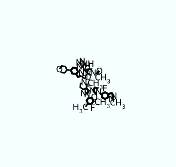 CC(=O)N1C[C@@H]2[C@H](C1)C2(c1nnn[nH]1)n1c(C(=O)N2CCc3nn(-c4cc(C)c(F)c(C)c4)c(-n4ccn(-c5ccc6c(cnn6C)c5F)c4=O)c3[C@@H]2C)cc2cc(C3CCOCC3)ccc21